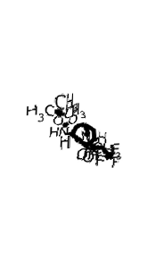 C[C@H]1CC2C[C@@H](NC(=O)OC(C)(C)C)C([C@H]1O)N(C(=O)CC(F)(F)F)C2